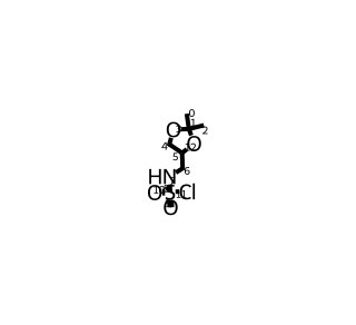 CC1(C)OCC(CNS(=O)(=O)Cl)O1